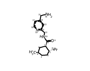 CC(C)[C@@H]1CC[C@@H](C)C[C@H]1C(=O)NCc1cc(CN)ccn1